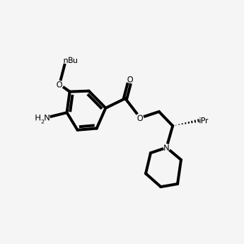 CCCCOc1cc(C(=O)OC[C@H](C(C)C)N2CCCCC2)ccc1N